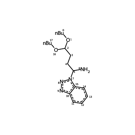 CCCCOC(CCC(N)n1nnc2ccccc21)OCCCC